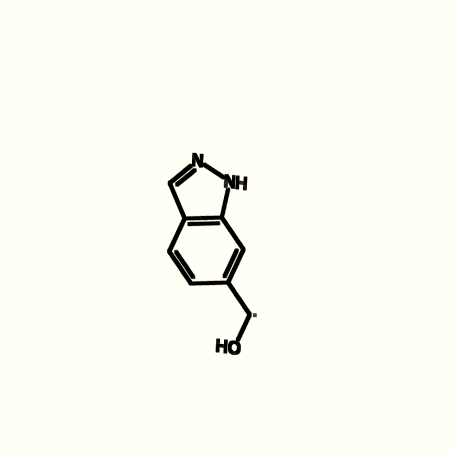 O[CH]c1ccc2cn[nH]c2c1